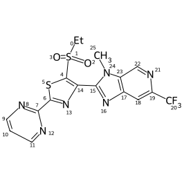 CCS(=O)(=O)c1sc(-c2ncccn2)nc1-c1nc2cc(C(F)(F)F)ncc2n1C